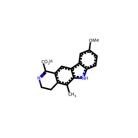 COc1ccc2[nH]c3c(C)c4c(cc3c2c1)C(C(=O)O)=NCC4